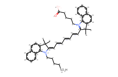 BC(=O)CCCC[N+]1=C(/C=C/C=C/C=C/C=C2/N(CCCCS(=O)(=O)O)c3c(ccc4ccccc34)C2(C)C)C(C)(C)c2ccc3ccccc3c21